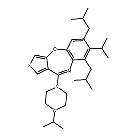 CC(C)Cc1cc2c(c(CC(C)C)c1C(C)C)N=C(N1CCN(C(C)C)CC1)c1cscc1O2